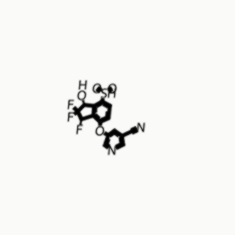 N#Cc1cncc(Oc2ccc([SH](=O)=O)c3c2[C@@H](F)C(F)(F)[C@H]3O)c1